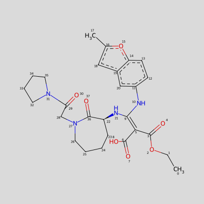 CCOC(=O)C(C(=O)O)=C(Nc1ccc2oc(C)cc2c1)N[C@H]1CCCCN(CC(=O)N2CCCC2)C1=O